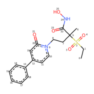 CCS(=O)(=O)C(C)(CCn1ccc(-c2ccccc2)cc1=O)C(=O)NO